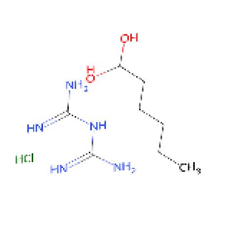 CCCCCC(O)O.Cl.N=C(N)NC(=N)N